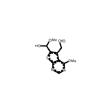 COc1ncnc2sc(C(O)OC)c(CC=O)c12